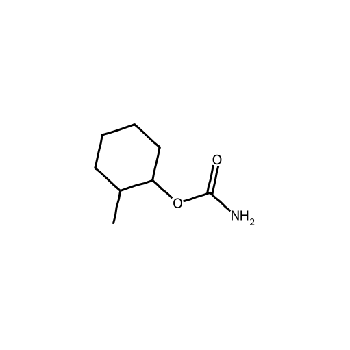 CC1CCCCC1OC(N)=O